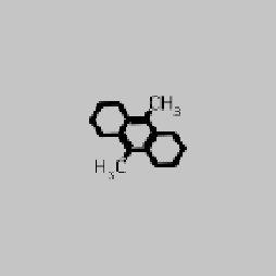 Cc1c2c(c(C)c3c1CCCC3)CCCC2